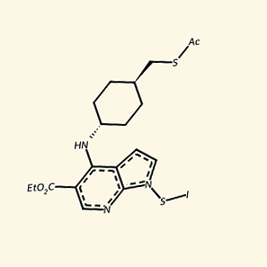 CCOC(=O)c1cnc2c(ccn2SI)c1N[C@H]1CC[C@H](CSC(C)=O)CC1